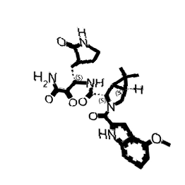 COc1cccc2[nH]c(C(=O)N3C[C@H]4C([C@H]3C(=O)N[C@@H](CC3CCNC3=O)C(=O)C(N)=O)C4(C)C)cc12